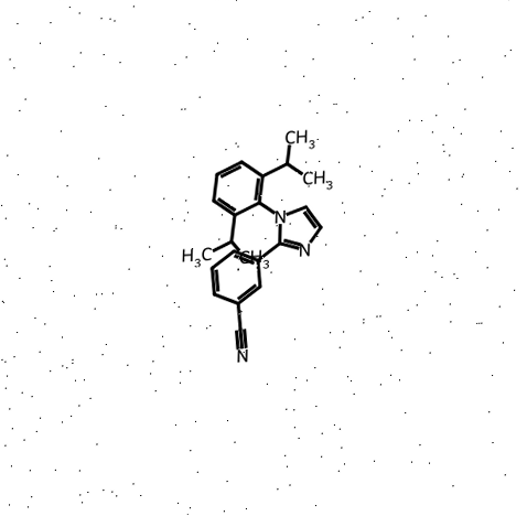 CC(C)c1cccc(C(C)C)c1-n1ccnc1-c1cccc(C#N)c1